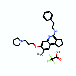 COc1cc2c3c(c(NCCc4ccccc4)nc2cc1OCCCN1CCCC1)CCC3.O=C(O)C(F)(F)F